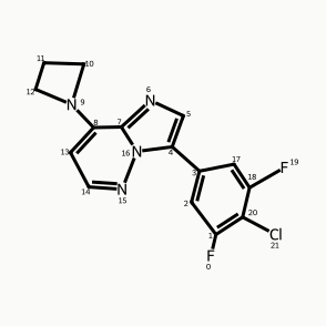 Fc1cc(-c2[c]nc3c(N4CCC4)ccnn23)cc(F)c1Cl